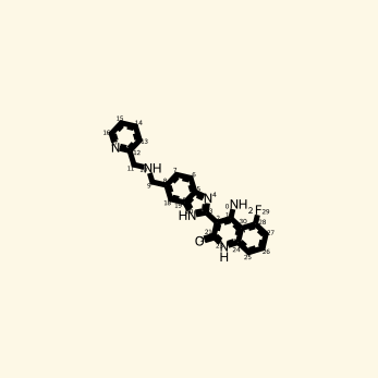 Nc1c(-c2nc3ccc(CNCc4ccccn4)cc3[nH]2)c(=O)[nH]c2cccc(F)c12